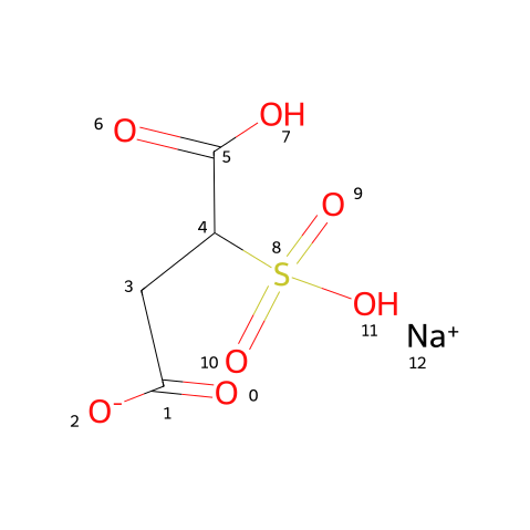 O=C([O-])CC(C(=O)O)S(=O)(=O)O.[Na+]